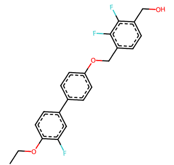 CCOc1ccc(-c2ccc(OCc3ccc(CO)c(F)c3F)cc2)cc1F